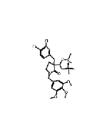 COc1cc(CN2CCC(Cc3ccc(Cl)c(Cl)c3)(C(CC(C)(C)C)O[SiH](C)C)C2=O)cc(OC)c1OC